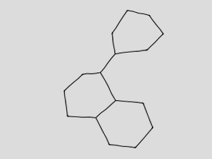 C1CCC(C2CCCC3CCCCC32)CC1